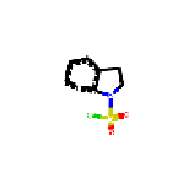 O=S(=O)(Cl)N1CCc2ccccc21